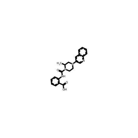 CC1CN(c2cnc3ccccc3c2)CCN1C(=O)Nc1ccccc1C(=O)O